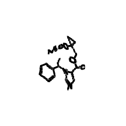 COC1(COC(=O)c2cncn2C(C)c2ccccc2)CC1